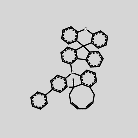 CC1(C)C/C=C\C=C/Cc2cccc(N(c3ccc(-c4ccccc4)cc3)c3cccc4c3-c3ccccc3C43c4ccccc4Oc4ccccc43)c21